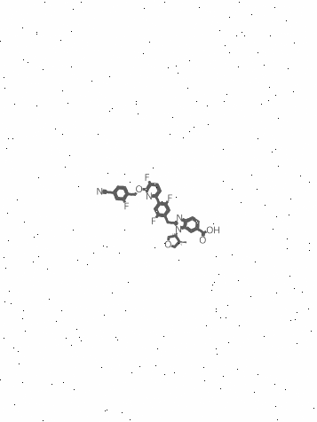 C[C@H]1COC[C@H]1n1c(Cc2cc(F)c(-c3ccc(F)c(OCc4ccc(C#N)cc4F)n3)cc2F)nc2ccc(C(=O)O)cc21